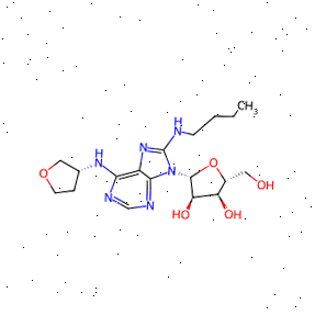 CCCCNc1nc2c(N[C@@H]3CCOC3)ncnc2n1[C@@H]1O[C@H](CO)[C@@H](O)[C@H]1O